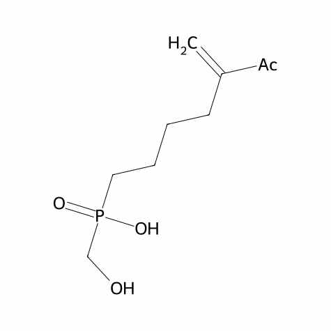 C=C(CCCCP(=O)(O)CO)C(C)=O